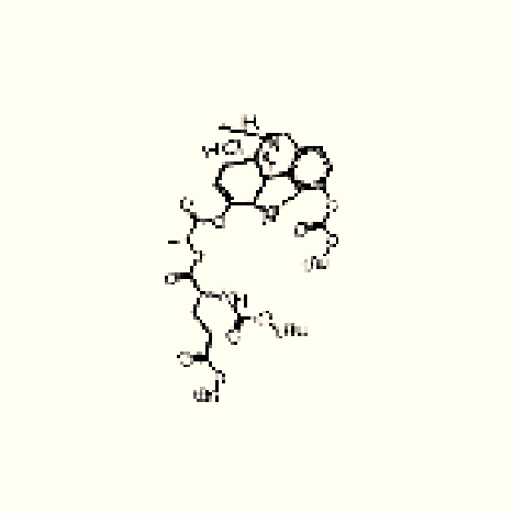 C[C@H](OC(=O)[C@H](CCC(=O)OC(C)(C)C)NC(=O)OC(C)(C)C)C(=O)OC1=CC[C@@]2(O)[C@H]3Cc4ccc(OC(=O)OC(C)(C)C)c5c4[C@@]2(CCN3C)[C@H]1O5